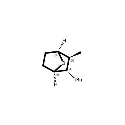 C[C@H]1[C@H](C(C)(C)C)[C@H]2CC[C@@H]1O2